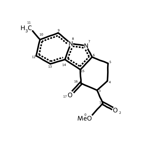 COC(=O)C1CCc2nn3cc(C)ccc3c2C1=O